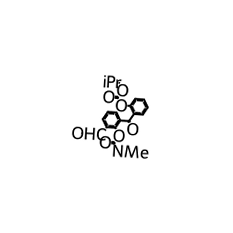 CNC(=O)Oc1c([C]=O)cccc1C(=O)c1ccccc1OC(=O)OC(C)C